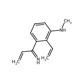 C=CC(=N)c1cccc(NC)c1C=C